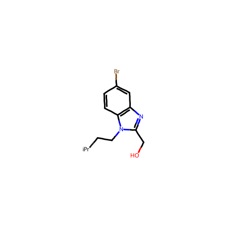 CC(C)CCn1c(CO)nc2cc(Br)ccc21